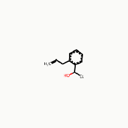 C=CCc1ccccc1C(O)CC